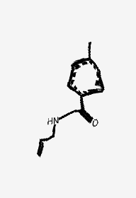 C=CCNC(=O)c1ccc(C)cc1